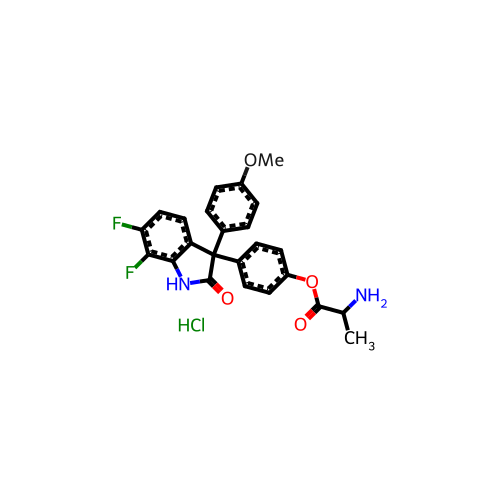 COc1ccc(C2(c3ccc(OC(=O)C(C)N)cc3)C(=O)Nc3c2ccc(F)c3F)cc1.Cl